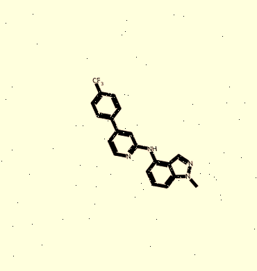 Cn1ncc2c(Nc3cc(-c4ccc(C(F)(F)F)cc4)ccn3)cccc21